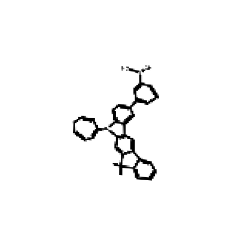 CC1(C)c2ccccc2-c2cc3c4cc(-c5cccc(B(O)O)c5)ccc4n(C4=CC=CCC=C4)c3cc21